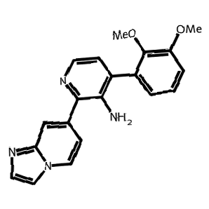 COc1cccc(-c2ccnc(-c3ccn4ccnc4c3)c2N)c1OC